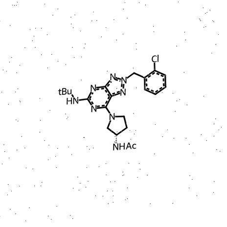 CC(=O)N[C@H]1CCN(c2nc(NC(C)(C)C)nc3nn(Cc4ccccc4Cl)nc23)C1